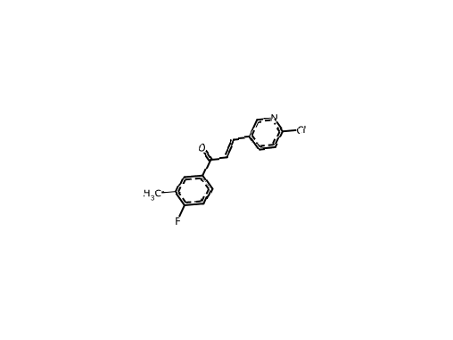 Cc1cc(C(=O)C=Cc2ccc(Cl)nc2)ccc1F